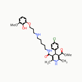 COC(=O)C1=C(C)NC(C)=C(C(=O)NCCCCCNCCCOc2cccc(OC)c2O)C1c1ccc(Cl)cc1